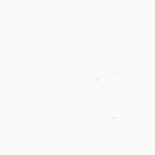 COCOc1ccc(CC2C=CC=CC2)cc1Pc1ccc(C)cc1C(C)O